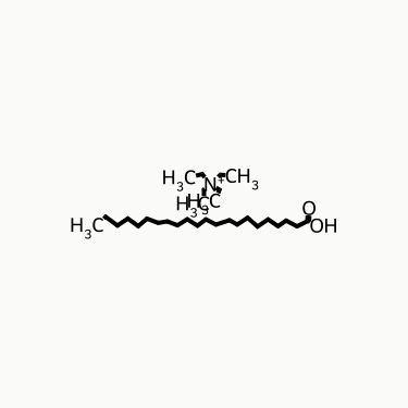 CCCCCCCCCCCCCCCCCCCCCC(=O)O.CC[N+](CC)(CC)CC